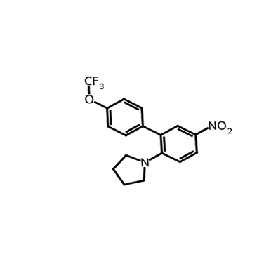 O=[N+]([O-])c1ccc(N2CCCC2)c(-c2ccc(OC(F)(F)F)cc2)c1